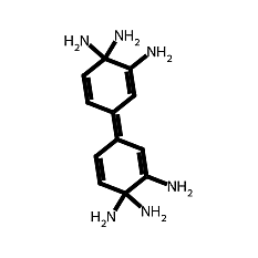 NC1=CC(=C2C=CC(N)(N)C(N)=C2)C=CC1(N)N